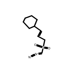 [N-]=[N+]=CS(=O)(=O)CC=CC1CCCCC1